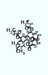 C/C=C\C=C/c1c(C2(c3ccc(OC(=O)CC)c4ccccc34)OC(=O)c3ccccc32)ccc(OC(=O)CC)c1C